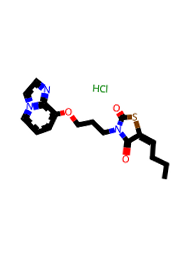 CCCC=C1SC(=O)N(CCCOc2cccn3ccnc23)C1=O.Cl